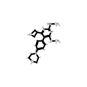 CNc1nc(OC)c(-c2ccc(N3CCOCC3)cc2)c(C2COC2)n1